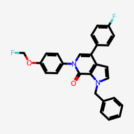 O=c1c2c(ccn2Cc2ccccc2)c(-c2ccc(F)cc2)cn1-c1ccc(OCF)cc1